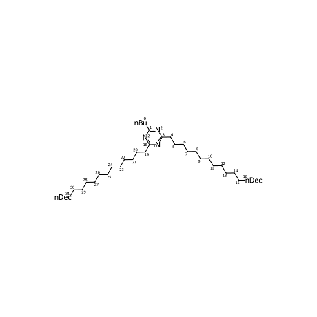 [CH2]CCCc1nc(CCCCCCCCCCCCCCCCCCCCCC)nc(CCCCCCCCCCCCCCCCCCCCCC)n1